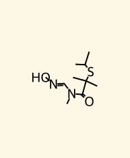 CC(C)SC(C)(C)C(=O)N(C)C=NO